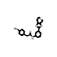 CC(C)(C)c1ccc(CC(=O)Nc2cccc(-c3nc4ccccc4o3)c2)cc1